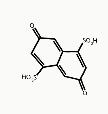 O=C1C=C2C(=CC(=O)C=C2S(=O)(=O)O)C(S(=O)(=O)O)=C1